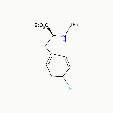 CCOC(=O)[C@H](Cc1ccc(F)cc1)NC(C)(C)C